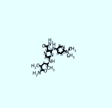 CC(CC(C)C(N)=O)Nc1cnc(C(N)=O)c(Nc2ccc(N(C)C)nc2)n1